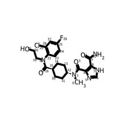 CN(C(=O)c1nc[nH]c1C(N)=O)[C@H]1CC[C@H](C(=O)N(CCO)c2ccc(F)cc2Cl)CC1